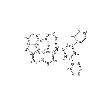 c1ccc(-c2cc(-n3c4ccccc4c4c5c(ccc6oc7ccccc7c65)ccc43)nc(-c3ccccc3)n2)cc1